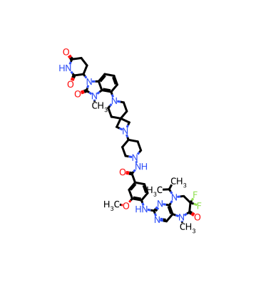 COc1cc(C(=O)NN2CCC(N3CC4(CCN(c5cccc6c5n(C)c(=O)n6C5CCC(=O)NC5=O)CC4)C3)CC2)ccc1Nc1ncc2c(n1)N(C(C)C)CC(F)(F)C(=O)N2C